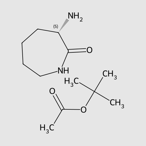 CC(=O)OC(C)(C)C.N[C@H]1CCCCNC1=O